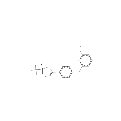 COc1cccc(Cc2ccc(C3=NOC(O)(C(F)(F)F)C3)cc2)n1